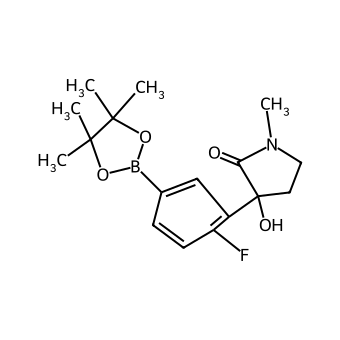 CN1CCC(O)(c2cc(B3OC(C)(C)C(C)(C)O3)ccc2F)C1=O